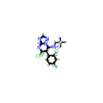 C[Si](C)(C)CNc1c(-c2ccc(F)cc2Cl)c(Cl)nc2ncnn12